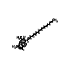 CCCCCCCCCCCCCCCCCCSC[C@@H](NC(C)=O)C(=O)N[C@@H](CC(C)C)C(=O)O